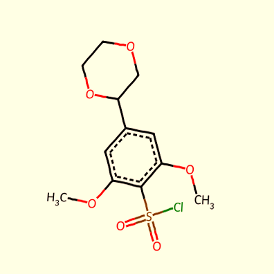 COc1cc(C2COCCO2)cc(OC)c1S(=O)(=O)Cl